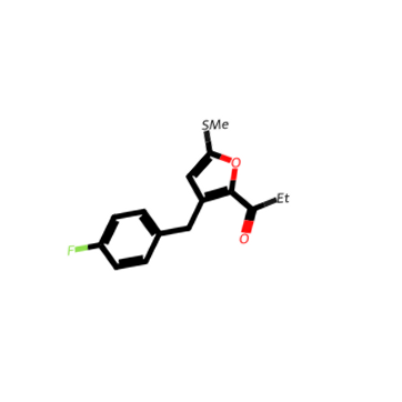 CCC(=O)c1oc(SC)cc1Cc1ccc(F)cc1